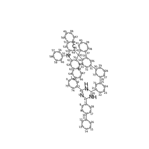 c1ccc(C2=NC(c3ccc(-c4ccccc4)cc3)NC(c3cccc(-c4cccc(-c5ccc6c(c5)-c5ccccc5C65c6cc7ccccc7cc6N(c6ccccc6)c6cc7ccccc7cc65)c4)c3)N2)cc1